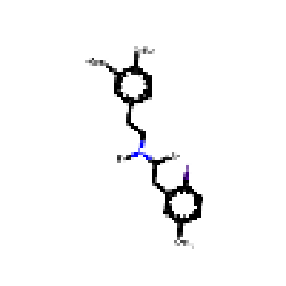 CCC(Cc1cc(OC)ccc1I)N(CC)CCc1ccc(OC)c(OC)c1